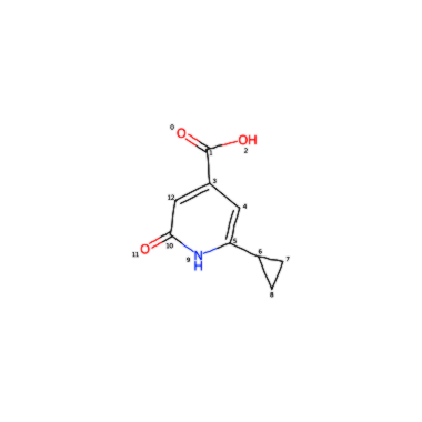 O=C(O)c1cc(C2CC2)[nH]c(=O)c1